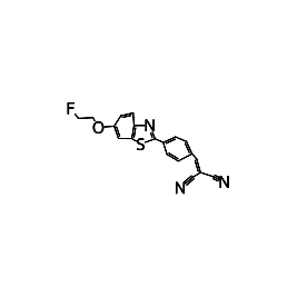 N#CC(C#N)=Cc1ccc(-c2nc3ccc(OCCF)cc3s2)cc1